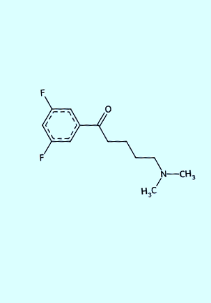 CN(C)CCCCC(=O)c1cc(F)cc(F)c1